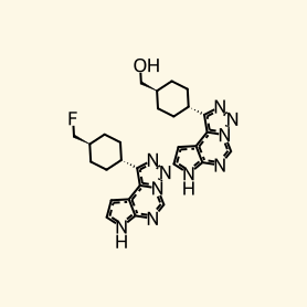 FC[C@H]1CC[C@H](c2nnn3cnc4[nH]ccc4c23)CC1.OC[C@H]1CC[C@H](c2nnn3cnc4[nH]ccc4c23)CC1